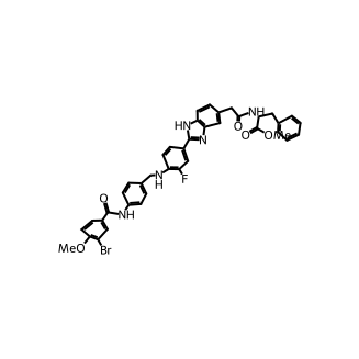 COC(=O)C(Cc1ccccc1)NC(=O)Cc1ccc2[nH]c(-c3ccc(NCc4ccc(NC(=O)c5ccc(OC)c(Br)c5)cc4)c(F)c3)nc2c1